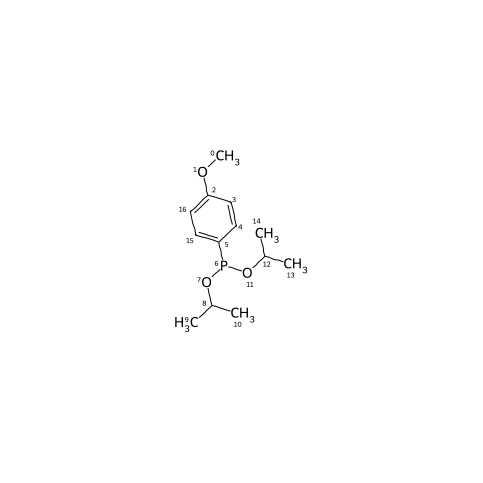 COc1ccc(P(OC(C)C)OC(C)C)cc1